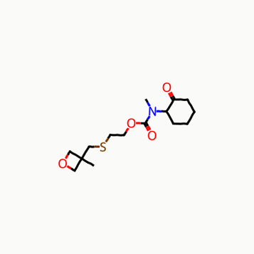 CN(C(=O)OCCSCC1(C)COC1)C1CCCCC1=O